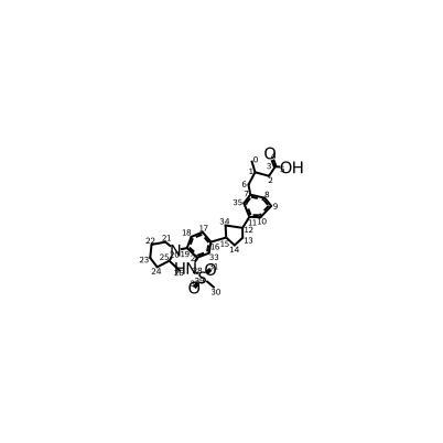 CC(CC(=O)O)Cc1cccc(C2CCC(c3ccc(N4CCCCC4C)c(NS(C)(=O)=O)c3)C2)c1